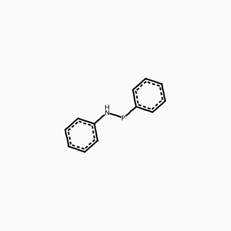 c1ccc(N[P]c2ccccc2)cc1